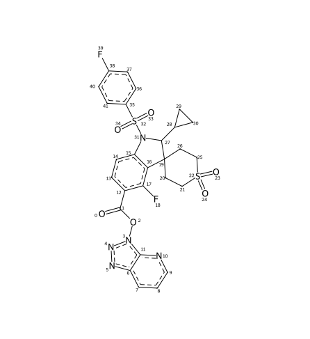 O=C(On1nnc2cccnc21)c1ccc2c(c1F)C1(CCS(=O)(=O)CC1)C(C1CC1)N2S(=O)(=O)c1ccc(F)cc1